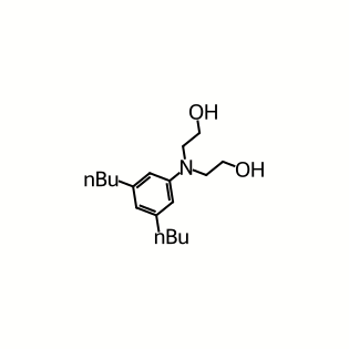 CCCCc1cc(CCCC)cc(N(CCO)CCO)c1